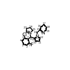 Fc1cccc(Cl)c1C(c1cccn1Cc1ccccn1)N1CCCC1